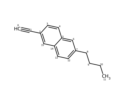 C#Cc1ccc2cc(CCCC)ccc2c1